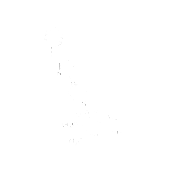 Cc1cc(C)c(C)c(S(=O)(=O)N2CCN(c3nc(Cc4ccccc4)cs3)CC2)c1C